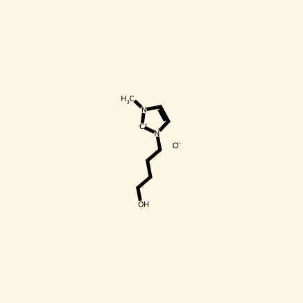 CN1[C+]N(CCCCO)C=C1.[Cl-]